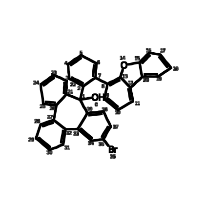 OC1(c2ccccc2-c2cccc3c2oc2ccccc23)c2ccccc2-c2ccccc2-c2cc(Br)ccc21